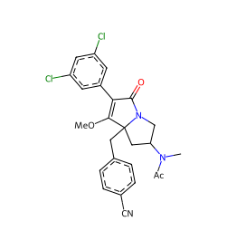 COC1=C(c2cc(Cl)cc(Cl)c2)C(=O)N2CC(N(C)C(C)=O)CC12Cc1ccc(C#N)cc1